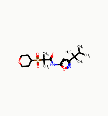 CC(C)C(C)(C)c1cc(NC(=O)C(C)(C)S(=O)(=O)C2CCOCC2)on1